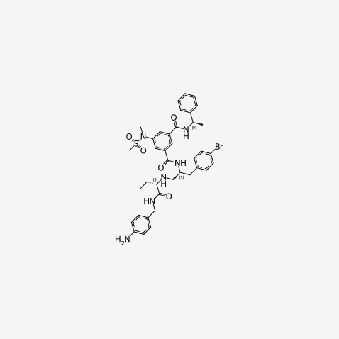 CC[C@H](NC[C@H](Cc1ccc(Br)cc1)NC(=O)c1cc(C(=O)N[C@H](C)c2ccccc2)cc(N(C)S(C)(=O)=O)c1)C(=O)NCc1ccc(N)cc1